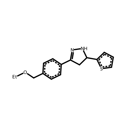 CCOCc1ccc(C2=NNC(c3cccs3)C2)cc1